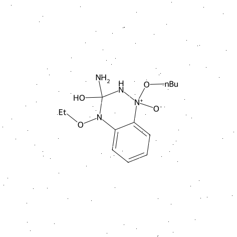 CCCCO[N+]1([O-])NC(N)(O)N(OCC)c2ccccc21